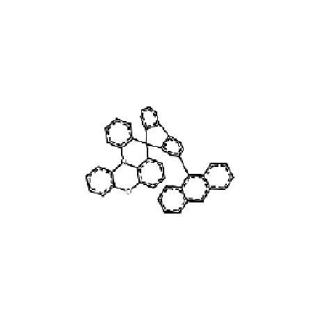 c1ccc2c(c1)Oc1cccc3c1N2c1ccccc1C31c2ccccc2-c2ccc(-c3c4ccccc4cc4ccccc34)cc21